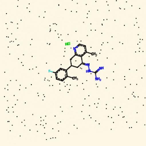 Cc1ccc(F)cc1C1CC(=NNC(=N)N)c2c(C)ccnc2C1.Cl